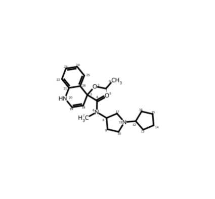 CCOC1(C(=O)N(C)C2CCN(C3CCCC3)C2)C=CNc2ccccc21